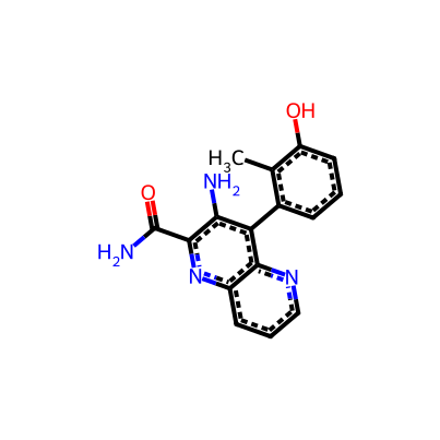 Cc1c(O)cccc1-c1c(N)c(C(N)=O)nc2cccnc12